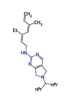 C=C/C(C)=C\C(=C/CNc1ncc2c(n1)CN(C(CCC)CCC)C2)CC